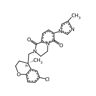 Cc1cn(-c2ccc3n(c2=O)CCN(C[C@]2(C)CCOc4ccc(Cl)cc42)C3=O)cn1